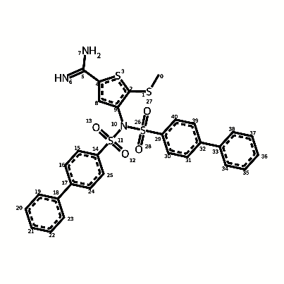 CSc1sc(C(=N)N)cc1N(S(=O)(=O)c1ccc(-c2ccccc2)cc1)S(=O)(=O)c1ccc(-c2ccccc2)cc1